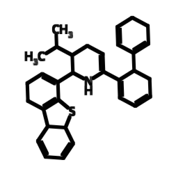 CC(C)C1CC=C(C2=CC=CCC2C2=CCCC=C2)NC1C1=CCCC2=C1SC1C=CC=CC21